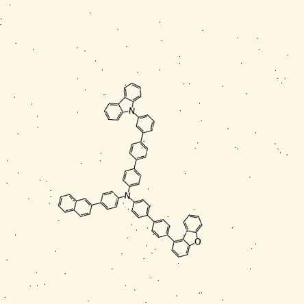 c1cc(-c2ccc(-c3ccc(N(c4ccc(-c5ccc(-c6cccc7oc8ccccc8c67)cc5)cc4)c4ccc(-c5ccc6ccccc6c5)cc4)cc3)cc2)cc(-n2c3ccccc3c3ccccc32)c1